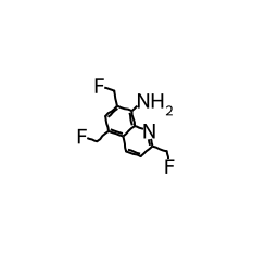 Nc1c(CF)cc(CF)c2ccc(CF)nc12